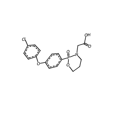 O=C(O)CN1CCCOP1(=O)c1ccc(Oc2ccc(Cl)cc2)cc1